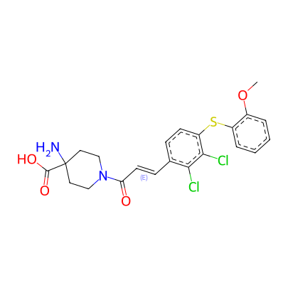 COc1ccccc1Sc1ccc(/C=C/C(=O)N2CCC(N)(C(=O)O)CC2)c(Cl)c1Cl